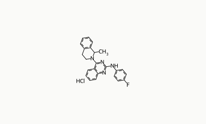 CC1c2ccccc2CCN1c1nc(Nc2ccc(F)cc2)nc2ccccc12.Cl